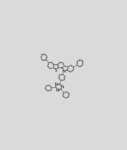 c1ccc(-c2ccc3sc4c(ccc5c6cc(-c7ccccc7)ccc6n(-c6ccc(-c7nc(-c8ccccc8)nc(-c8ccccc8)n7)cc6)c54)c3c2)cc1